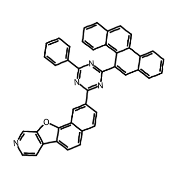 c1ccc(-c2nc(-c3ccc4ccc5c6ccncc6oc5c4c3)nc(-c3cc4ccccc4c4ccc5ccccc5c34)n2)cc1